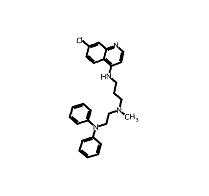 CN(CCCNc1ccnc2cc(Cl)ccc12)CCN(c1ccccc1)c1ccccc1